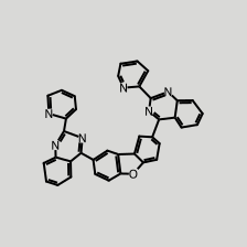 c1ccc(-c2nc(-c3ccc4oc5ccc(-c6nc(-c7ccccn7)nc7ccccc67)cc5c4c3)c3ccccc3n2)nc1